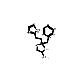 CC1COC(CCc2ncc[nH]2)(Cc2ccccc2)O1